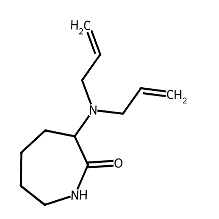 C=CCN(CC=C)C1CCCCNC1=O